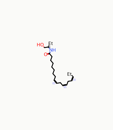 CC/C=C\C/C=C\C/C=C\CCCCCCCC(=O)N[C@H](CC)CO